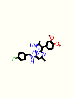 COc1ccc(/C(C(C)=N)=C2\N=C(C)C=C(NCc3ccc(F)cc3)N2)cc1OC